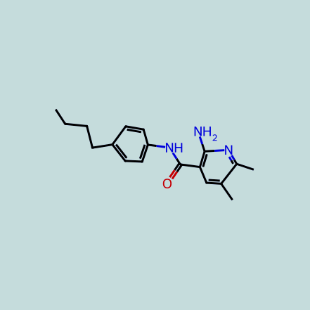 CCCCc1ccc(NC(=O)c2cc(C)c(C)nc2N)cc1